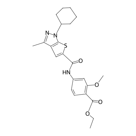 CCOC(=O)c1ccc(NC(=O)c2cc3c(C)nn(C4CCCCC4)c3s2)cc1OC